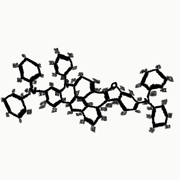 c1ccc(N(c2ccccc2)c2ccc3c(c2)N(c2ccccc2)c2ccc4c5oc6cc(N(c7ccccc7)c7ccccc7)ccc6c5c5cccc6cc-3c2c4c65)cc1